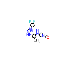 Cc1cc(Nc2ncn(-c3ccc(F)c(F)c3)n2)cc(NC2CCN(C3COC3)CC2)c1